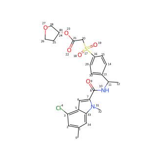 Cc1cc(Cl)c2cc(C(=O)NC(C)c3ccc(S(=O)(=O)CC(=O)O[C@@H]4CCOC4)cc3)n(C)c2c1